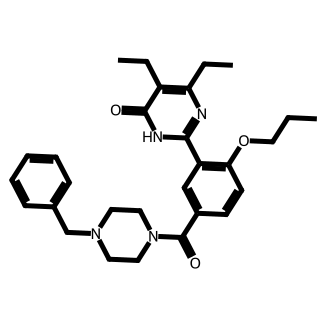 CCCOc1ccc(C(=O)N2CCN(Cc3ccccc3)CC2)cc1-c1nc(CC)c(CC)c(=O)[nH]1